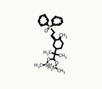 C=C1CCC(C(C)(C)C(O[SiH2]C)O[SiH2]C)C/C1=C/CP(=O)(c1ccccc1)c1ccccc1